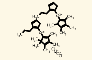 CCCC1=[C]([Zr+2][C]2=C(C)C(C)=C(C)C2(C)C)CC=C1.CCCC1=[C]([Zr+2][C]2=C(C)C(C)=C(C)C2C)CC=C1.[Cl-].[Cl-].[Cl-].[Cl-]